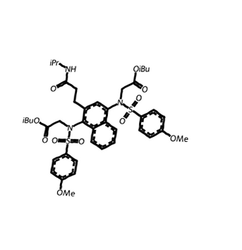 COc1ccc(S(=O)(=O)N(CC(=O)OCC(C)C)c2cc(CCC(=O)NC(C)C)c(N(CC(=O)OCC(C)C)S(=O)(=O)c3ccc(OC)cc3)c3ccccc23)cc1